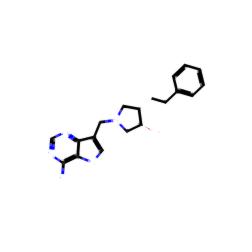 Nc1ncnc2c(CN3C[C@H](CCc4ccccc4)[C@@H](O)C3)c[nH]c12